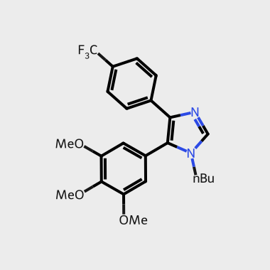 CCCCn1cnc(-c2ccc(C(F)(F)F)cc2)c1-c1cc(OC)c(OC)c(OC)c1